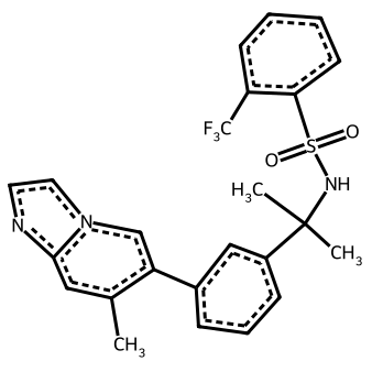 Cc1cc2nccn2cc1-c1cccc(C(C)(C)NS(=O)(=O)c2ccccc2C(F)(F)F)c1